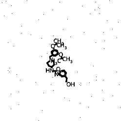 CC(C)Oc1cc(CN2CCC(Nc3nc4cc(CCO)ccc4o3)CC2)cc(OC(C)C)c1